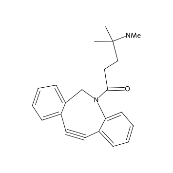 CNC(C)(C)CCC(=O)N1Cc2ccccc2C#Cc2ccccc21